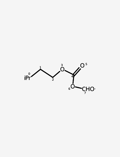 CC(C)CCOC(=O)O[C]=O